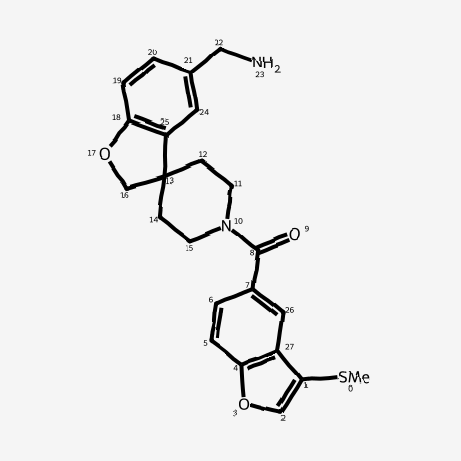 CSc1coc2ccc(C(=O)N3CCC4(CC3)COc3ccc(CN)cc34)cc12